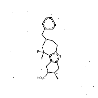 C[C@@H]1Cc2nn3c(c2CN1C(=O)O)C(F)(F)CN(Cc1ccccc1)CC3